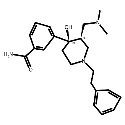 CN(C)C[C@H]1CN(CCc2ccccc2)CC[C@]1(O)c1cccc(C(N)=O)c1